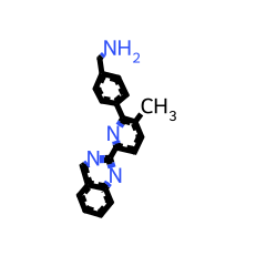 Cc1ccc(-c2ncc3ccccc3n2)nc1-c1ccc(CN)cc1